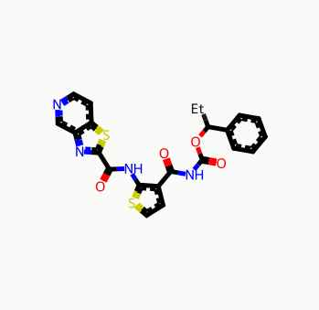 CCC(OC(=O)NC(=O)c1ccsc1NC(=O)c1nc2cnccc2s1)c1ccccc1